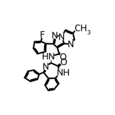 Cc1cnc2c(C(=O)N[C@H]3N=C(c4ccccc4)c4ccccc4NC3=O)c(-c3ccccc3F)nn2c1